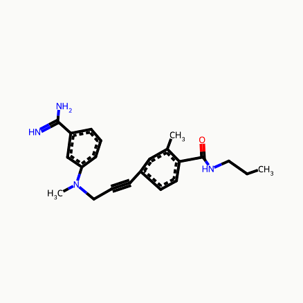 CCCNC(=O)c1ccc(C#CCN(C)c2cccc(C(=N)N)c2)cc1C